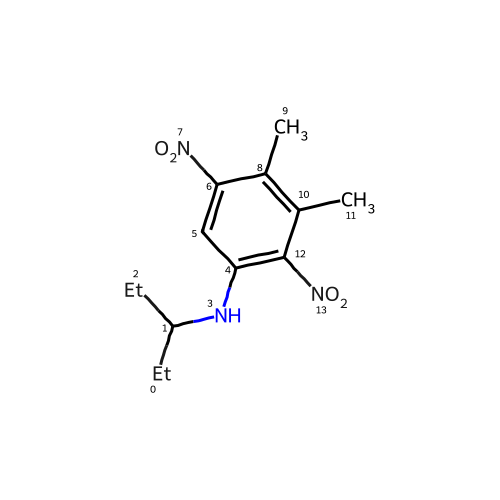 CCC(CC)Nc1cc([N+](=O)[O-])c(C)c(C)c1[N+](=O)[O-]